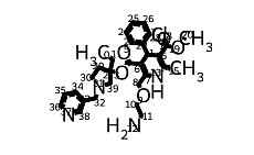 CCC1(OC(=O)C2=C(COCCN)NC(C)=C(C(=O)OC)C2c2ccccc2Cl)CCN(Cc2cccnc2)C1